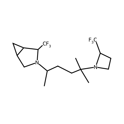 CC(CCC(C)(C)N1CCC1C(F)(F)F)N1CC2CC2C1C(F)(F)F